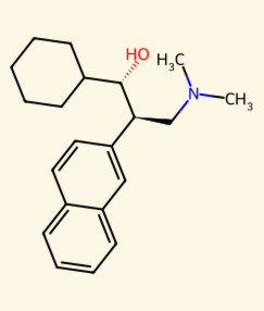 CN(C)C[C@@H](c1ccc2ccccc2c1)[C@@H](O)C1CCCCC1